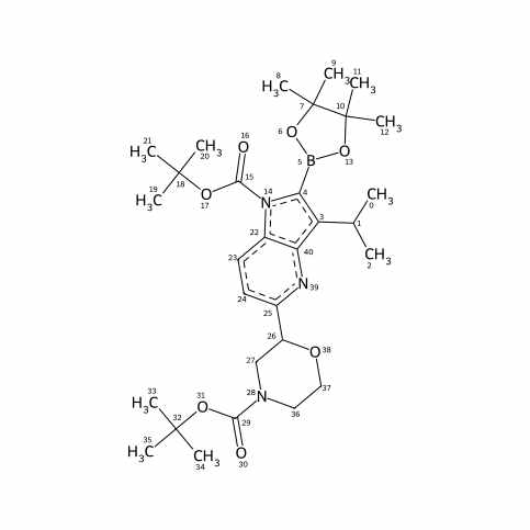 CC(C)c1c(B2OC(C)(C)C(C)(C)O2)n(C(=O)OC(C)(C)C)c2ccc(C3CN(C(=O)OC(C)(C)C)CCO3)nc12